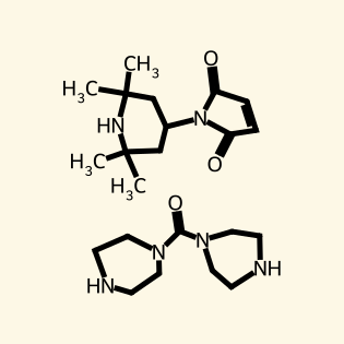 CC1(C)CC(N2C(=O)C=CC2=O)CC(C)(C)N1.O=C(N1CCNCC1)N1CCNCC1